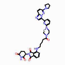 O=C1CCC(N2C(=O)c3cccc(NCCCCC(=O)N4CCN(c5cccc(-c6cnc7ccc(N8CCCC8)nn67)n5)CC4)c3C2=O)C(=O)N1